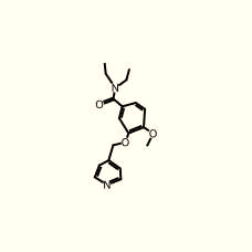 CCN(CC)C(=O)c1ccc(OC)c(OCc2ccncc2)c1